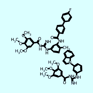 COc1cc(C(=O)NC(=N)Nc2ccc(C)c(NC(=O)c3ccc(-c4ccc(F)cc4)cc3)c2)cc(OC)c1OC.COc1cc(C(=O)NC(=N)Nc2cccc(-n3ccc4ccccc43)c2)cc(OC)c1OC